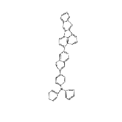 c1ccc(N(c2ccccc2)c2ccc(-c3ccc4cc(-c5ccc6c7c(cccc57)-c5cc7ccccc7cc5-6)ccc4c3)cc2)cc1